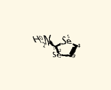 NC1[Se]C=C[Se]1